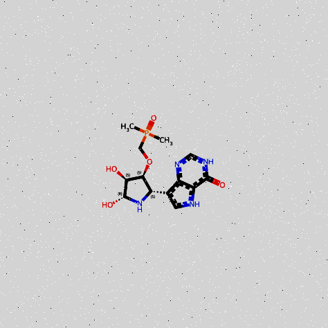 CP(C)(=O)CO[C@@H]1[C@H](O)[C@@H](O)N[C@H]1c1c[nH]c2c(=O)[nH]cnc12